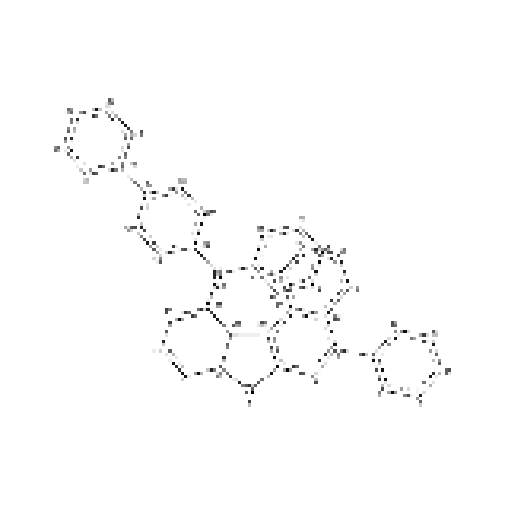 C1=CC2Oc3cc(-c4ccccc4)c4ccccc4c3C2C(N(c2ccccc2)c2ccc(-c3ccccc3)cc2)=C1